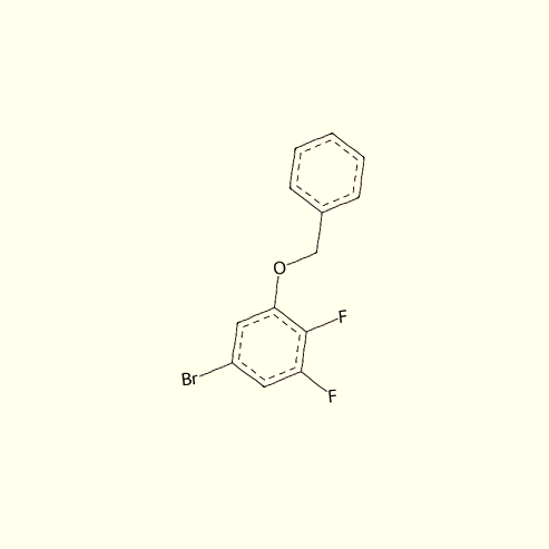 Fc1cc(Br)cc(OCc2ccccc2)c1F